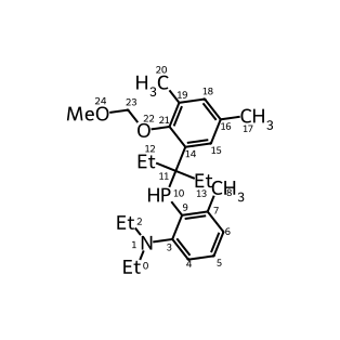 CCN(CC)c1cccc(C)c1PC(CC)(CC)c1cc(C)cc(C)c1OCOC